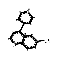 Bc1ccc2nccc(-c3ccncc3)c2c1